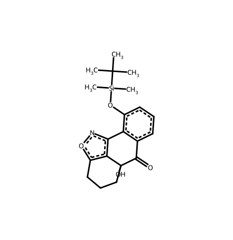 CC(C)(C)[Si](C)(C)Oc1cccc2c1-c1noc3c1C(O)(CCC3)C2=O